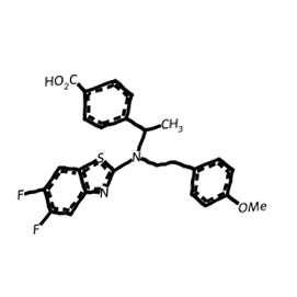 COc1ccc(CCN(c2nc3cc(F)c(F)cc3s2)C(C)c2ccc(C(=O)O)cc2)cc1